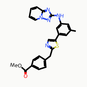 COC(=O)c1ccc(Cc2ncc(-c3cc(C)cc(Nc4nc5ccccn5n4)c3)s2)cc1